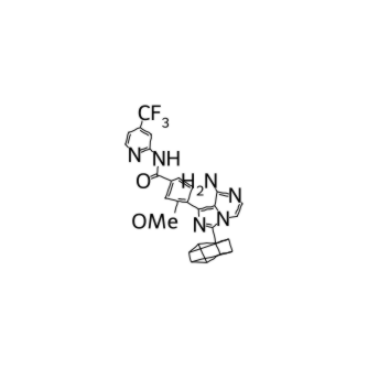 COc1cc(C(=O)Nc2cc(C(F)(F)F)ccn2)ccc1-c1nc(C23C4C5C6C4C2C6C53)n2ccnc(N)c12